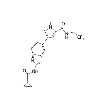 Cn1nc(-c2ccc3nc(NC(=O)C4CC4)cn3c2)cc1C(=O)NCC(F)(F)F